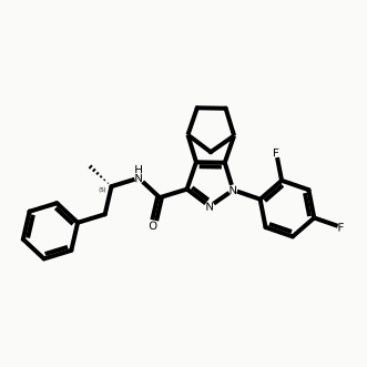 C[C@@H](Cc1ccccc1)NC(=O)c1nn(-c2ccc(F)cc2F)c2c1C1CCC2C1